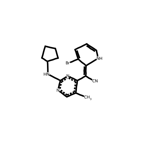 Cc1cnc(NC2CCCC2)nc1/C(C#N)=C1/NC=CC=C1Br